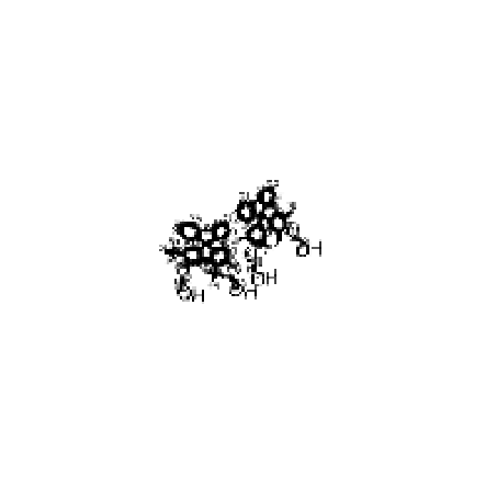 Cc1cc(C2(c3cc(C)c(OCCO)c(C)c3)c3ccccc3-c3ccccc32)cc(C)c1OCCO.Cc1cc(OCCO)c(C(C)(C)C)cc1C1(c2cc(C(C)(C)C)c(OCCO)cc2C)c2ccccc2-c2ccccc21